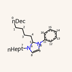 CCCCCCCCCCCCCCC1N(CCCCCCC)C=CN1c1ccccc1